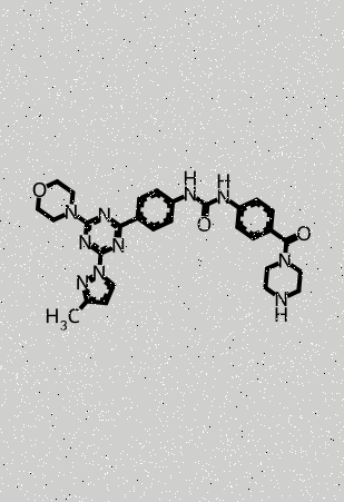 Cc1ccn(-c2nc(-c3ccc(NC(=O)Nc4ccc(C(=O)N5CCNCC5)cc4)cc3)nc(N3CCOCC3)n2)n1